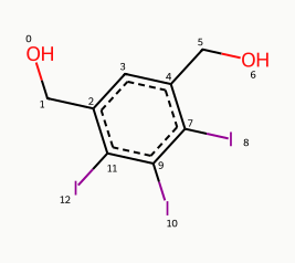 OCc1cc(CO)c(I)c(I)c1I